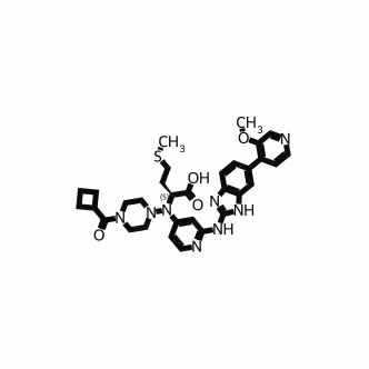 COc1cnccc1-c1ccc2nc(Nc3cc(N([C@@H](CCSC)C(=O)O)N4CCN(C(=O)C5CCC5)CC4)ccn3)[nH]c2c1